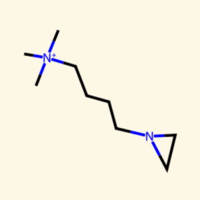 C[N+](C)(C)CCCCN1CC1